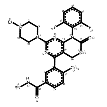 CCN1CCN(c2nc(-c3cc(C(=O)NC(C)C)ccc3C)c3c(n2)N(c2c(F)cccc2F)C(=O)NC3)CC1